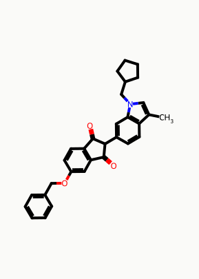 Cc1cn(CC2CCCC2)c2cc(C3C(=O)c4ccc(OCc5ccccc5)cc4C3=O)ccc12